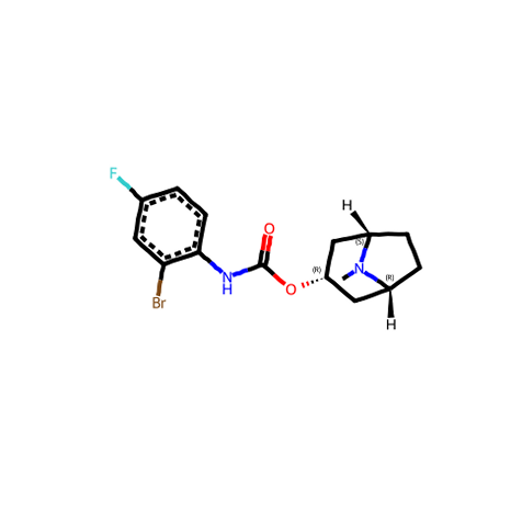 CN1[C@@H]2CC[C@H]1C[C@@H](OC(=O)Nc1ccc(F)cc1Br)C2